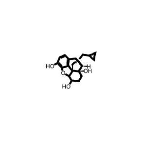 Oc1ccc2c3c1OC1C(O)CC[C@@]4(O)[C@@H](C2)N(CC2CC2)CC[C@]314